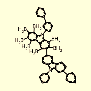 Bc1c(B)c(B)c2c(c1B)c1c(B)c(-c3ccc4c(c3)c3ccc(-c5ccccc5)cc3n4-c3ccccc3)c(B)c(B)c1n2-c1cccc(-c2ccccc2)c1